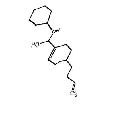 C=CCCC1CC=C(C(O)NC2CCCCC2)CC1